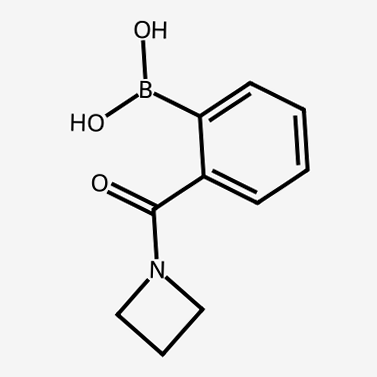 O=C(c1ccccc1B(O)O)N1CCC1